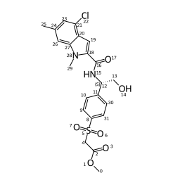 COC(=O)CS(=O)(=O)c1ccc([C@@H](CO)NC(=O)c2cc3c(Cl)cc(C)cc3n2C)cc1